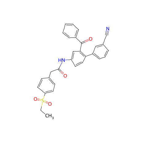 CCS(=O)(=O)c1ccc(CC(=O)Nc2ccc(-c3cccc(C#N)c3)c(C(=O)c3ccccc3)c2)cc1